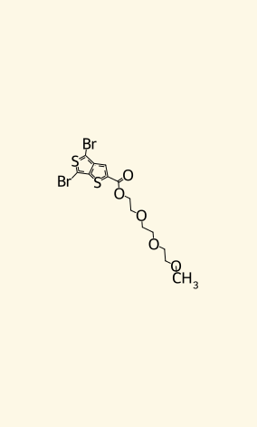 COCCOCCOCCOC(=O)c1cc2c(Br)sc(Br)c2s1